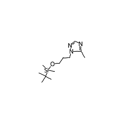 Cc1ncnn1CCCO[Si](C)(C)C(C)(C)C